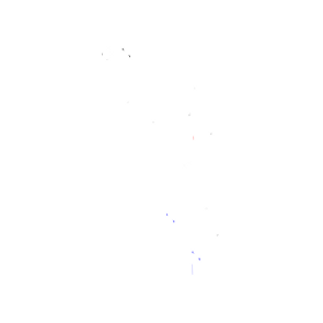 O=[N+]([O-])c1ccc(OCCc2c[nH]cn2)cc1